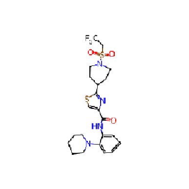 O=C(Nc1ccccc1N1CCCCC1)c1csc(C2CCN(S(=O)(=O)CC(F)(F)F)CC2)n1